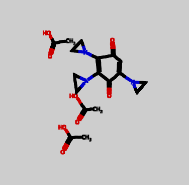 CC(=O)O.CC(=O)O.CC(=O)O.O=C1C=C(N2CC2)C(=O)C(N2CC2)=C1N1CC1